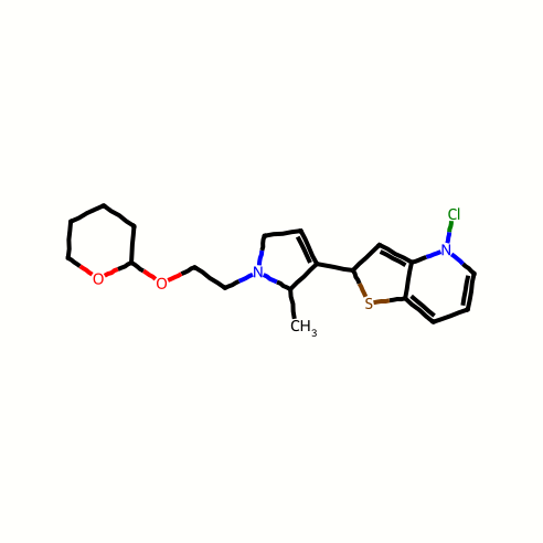 CC1C(C2C=C3C(=CC=CN3Cl)S2)=CCN1CCOC1CCCCO1